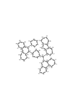 c1ccc(-c2c(-c3ccc(N(c4cc5ccccc5c5ccccc45)c4cccc5c4oc4ccccc45)cc3)c3ccccc3c3ccccc23)cc1